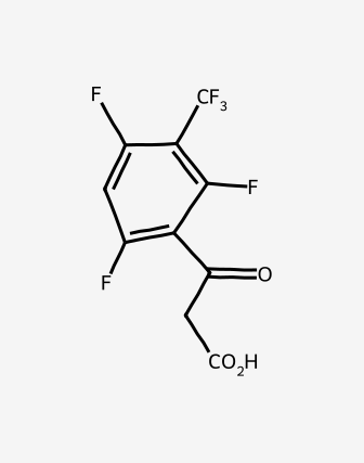 O=C(O)CC(=O)c1c(F)cc(F)c(C(F)(F)F)c1F